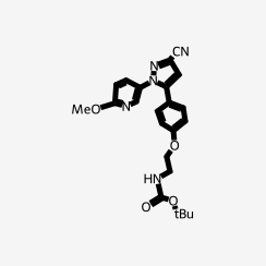 COc1ccc(-n2nc(C#N)cc2-c2ccc(OCCNC(=O)OC(C)(C)C)cc2)cn1